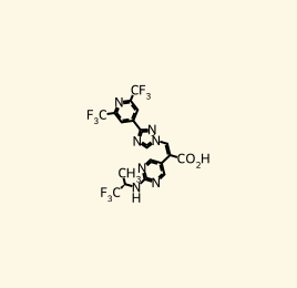 C[C@@H](Nc1ncc(/C(=C\n2cnc(-c3cc(C(F)(F)F)nc(C(F)(F)F)c3)n2)C(=O)O)cn1)C(F)(F)F